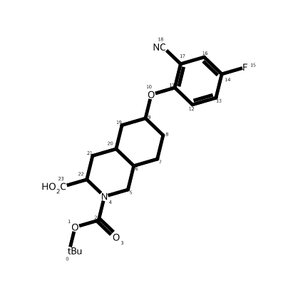 CC(C)(C)OC(=O)N1CC2CCC(Oc3ccc(F)cc3C#N)CC2CC1C(=O)O